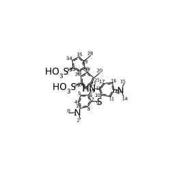 CN(C)c1ccc2c(c1)Sc1cc(N(C)C)ccc1N2.Cc1ccc(S(=O)(=O)O)cc1.Cc1ccc(S(=O)(=O)O)cc1